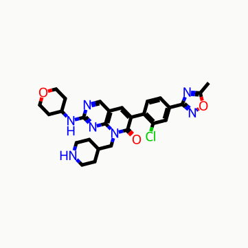 Cc1nc(-c2ccc(-c3cc4cnc(NC5CCOCC5)nc4n(CC4CCNCC4)c3=O)c(Cl)c2)no1